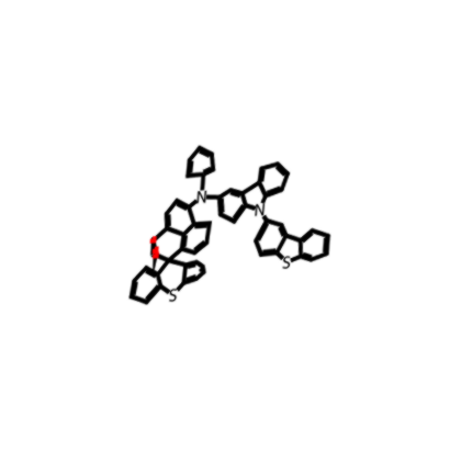 c1ccc(N(c2ccc3c(c2)c2ccccc2n3-c2ccc3sc4ccccc4c3c2)c2ccc3c4c(cccc24)C2(c4ccccc4Sc4ccccc42)c2ccccc2-3)cc1